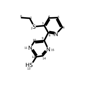 CCSc1cccnc1-c1cnc(S)cn1